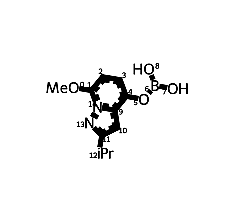 COc1ccc(OB(O)O)c2cc(C(C)C)nn12